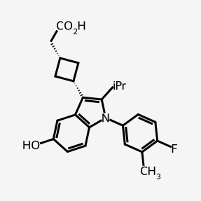 Cc1cc(-n2c(C(C)C)c([C@H]3C[C@@H](CC(=O)O)C3)c3cc(O)ccc32)ccc1F